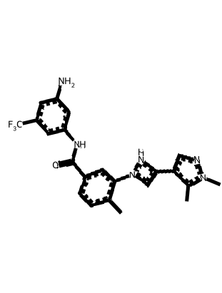 Cc1ccc(C(=O)Nc2cc(N)cc(C(F)(F)F)c2)cc1-n1cc(-c2cnn(C)c2C)[nH]1